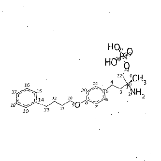 C[C@@](N)(CCc1ccc(OCCCCc2ccccc2)cc1)COP(=O)(O)O